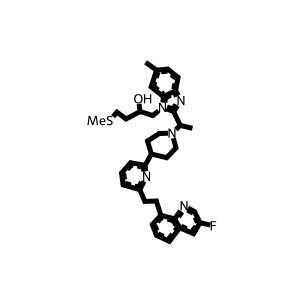 CSCCC(O)Cn1c(C(C)N2CCC(c3cccc(CCc4cccc5cc(F)cnc45)n3)CC2)nc2ccc(C)cc21